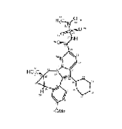 COc1ccc2c(c1)[C@@H]1C[C@]1(C(=O)O)Cn1c-2c(C2CCCCC2)c2ccc(C(=O)NS(=O)(=O)N(C)C)nc21